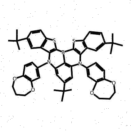 CC(C)(C)c1cc2c3c(c1)N(c1ccc4c(c1)OCCCO4)c1c(sc4ccc(C(C)(C)C)cc14)B3c1sc3ccc(C(C)(C)C)cc3c1N2c1ccc2c(c1)OCCCO2